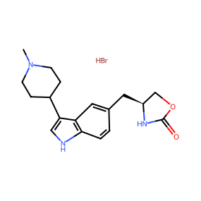 Br.CN1CCC(c2c[nH]c3ccc(C[C@H]4COC(=O)N4)cc23)CC1